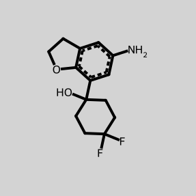 Nc1cc2c(c(C3(O)CCC(F)(F)CC3)c1)OCC2